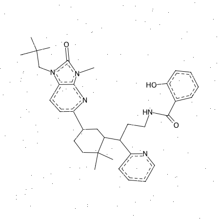 Cn1c(=O)n(CC(C)(C)C)c2ccc(C3CCC(C)(C)C(C(CCNC(=O)c4ccccc4O)c4ccccn4)C3)nc21